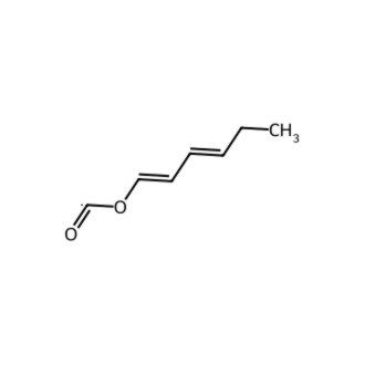 CC/C=C/C=C/O[C]=O